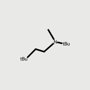 CN(CCC(C)(C)C)C(C)(C)C